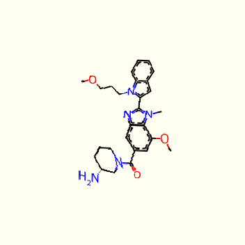 COCCCn1c(-c2nc3cc(C(=O)N4CCC[C@@H](N)C4)cc(OC)c3n2C)cc2ccccc21